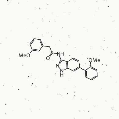 COc1cccc(CC(=O)Nc2n[nH]c3cc(-c4ccccc4OC)ccc23)c1